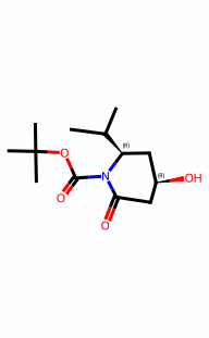 CC(C)[C@H]1C[C@@H](O)CC(=O)N1C(=O)OC(C)(C)C